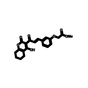 COC(=O)COc1cccc(/C=C/C(=O)c2c(O)c3c(oc2=O)CCCC3)c1